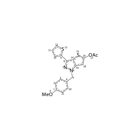 COc1ccc(Cn2nc(-c3cccs3)c3sc(OC(C)=O)cc32)cc1